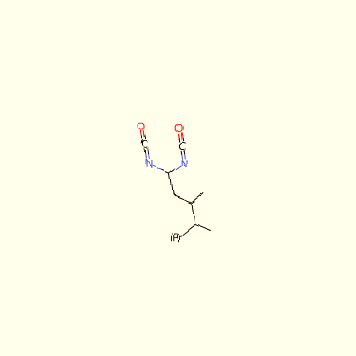 CC(C)C(C)C(C)CC(N=C=O)N=C=O